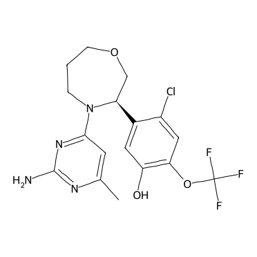 Cc1cc(N2CCCOC[C@H]2c2cc(O)c(OC(F)(F)F)cc2Cl)nc(N)n1